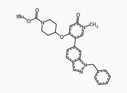 Cn1cc(-c2ccc3cnn(Cc4ccccc4)c3c2)c(OC2CCN(C(=O)OC(C)(C)C)CC2)cc1=O